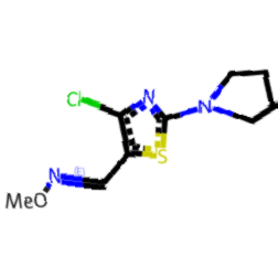 CO/N=C/c1sc(N2CCCC2)nc1Cl